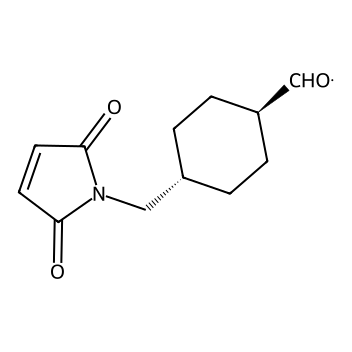 O=[C][C@H]1CC[C@H](CN2C(=O)C=CC2=O)CC1